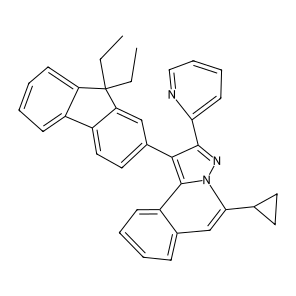 CCC1(CC)c2ccccc2-c2ccc(-c3c(-c4ccccn4)nn4c(C5CC5)cc5ccccc5c34)cc21